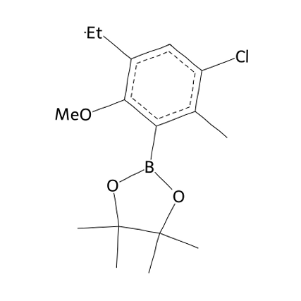 C[CH]c1cc(Cl)c(C)c(B2OC(C)(C)C(C)(C)O2)c1OC